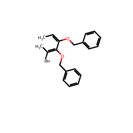 C/C=C(OCc1ccccc1)\C(OCc1ccccc1)=C(/C)C(C)CC